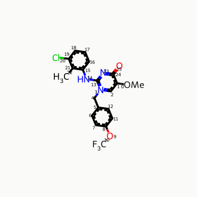 COc1cn(Cc2ccc(OC(F)(F)F)cc2)c(Nc2cccc(Cl)c2C)nc1=O